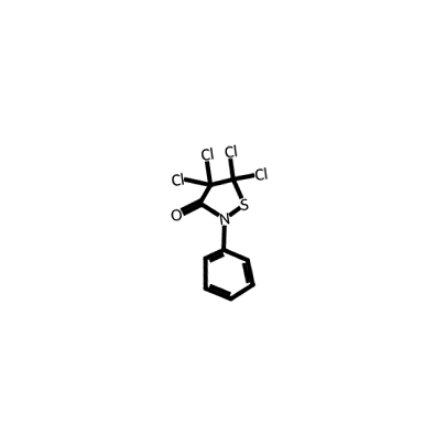 O=C1N(c2ccccc2)SC(Cl)(Cl)C1(Cl)Cl